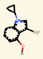 CCOc1c[c]cc2c1c(C(=O)O)cn2C1CC1